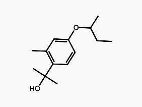 CCC(C)Oc1ccc(C(C)(C)O)c(C)c1